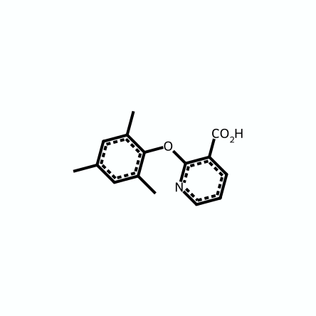 Cc1cc(C)c(Oc2ncccc2C(=O)O)c(C)c1